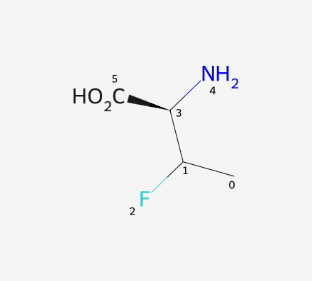 CC(F)[C@H](N)C(=O)O